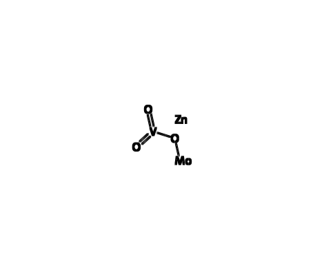 [O]=[V](=[O])[O][Mo].[Zn]